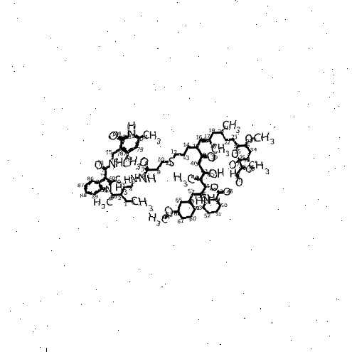 CCC(CCNNC(=O)CCSCCCC(/C=C(\C)C[C@H](C)CCC1OC(O)(C(=O)C=O)[C@H](C)CC1OC)C(=O)CC(O)C(C)[C@H](OC(=O)C1CCCCN1)/C(C)=C/C1CCCC(OC)C1)[C@H](C)n1c(C)c(C(=O)NCc2c(C)cc(C)[nH]c2=O)c2ccccc21